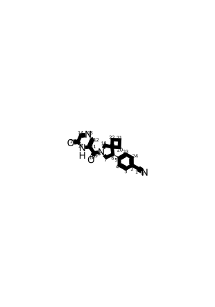 N#Cc1ccc([C@@H]2CN(C(=O)c3cncc(=O)[nH]3)CC23CCC3)cc1